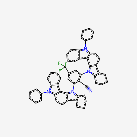 N#Cc1c(-n2c3ccccc3c3ccc4c(c5ccccc5n4-c4ccccc4)c32)cc(C(F)(F)F)cc1-n1c2ccccc2c2ccc3c(c4ccccc4n3-c3ccccc3)c21